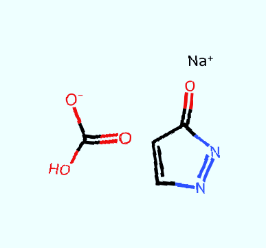 O=C([O-])O.O=C1C=CN=N1.[Na+]